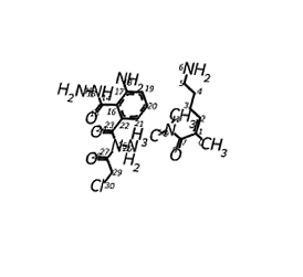 CC(=CCCCN)C(=O)N(C)C.NNC(=O)c1c(N)cccc1C(=O)N(N)C(=O)CCl